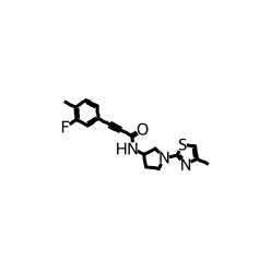 Cc1csc(N2CCC(NC(=O)C#Cc3ccc(C)c(F)c3)C2)n1